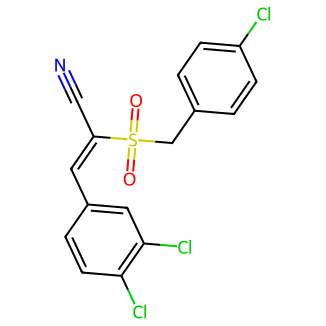 N#CC(=Cc1ccc(Cl)c(Cl)c1)S(=O)(=O)Cc1ccc(Cl)cc1